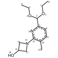 CCOC(OCC)c1ccc(F)c(N2CC(O)C2)n1